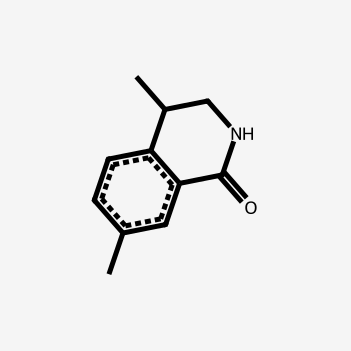 Cc1ccc2c(c1)C(=O)NCC2C